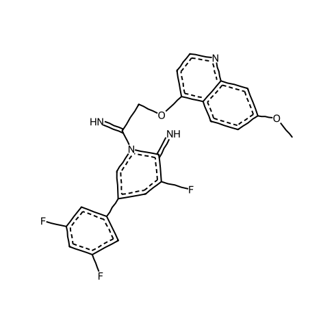 COc1ccc2c(OCC(=N)n3cc(-c4cc(F)cc(F)c4)cc(F)c3=N)ccnc2c1